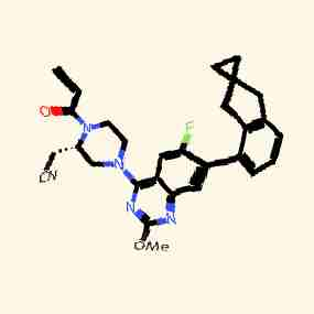 C=CC(=O)N1CCN(c2nc(OC)nc3cc(-c4cccc5c4CC4(CC4)C5)c(F)cc23)C[C@@H]1CC#N